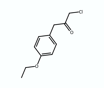 CCOc1ccc(CC(=O)CCl)cc1